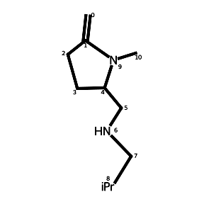 C=C1CCC(CNCC(C)C)N1C